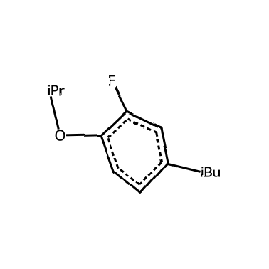 CCC(C)c1ccc(OC(C)C)c(F)c1